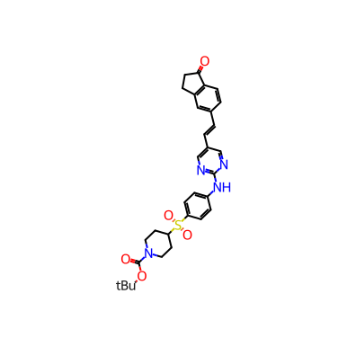 CC(C)(C)OC(=O)N1CCC(S(=O)(=O)c2ccc(Nc3ncc(C=Cc4ccc5c(c4)CCC5=O)cn3)cc2)CC1